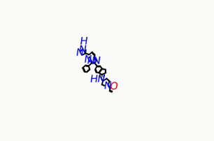 C=CC(=O)N1CCC(N[C@H]2CCc3cc(-c4nc5ccc(-c6cn[nH]c6)nn5c4-c4ccccc4)ccc32)CC1